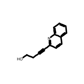 OCCC#Cc1ccc2ccccc2n1